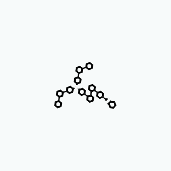 c1ccc(-c2cccc(-c3ccc(N(c4ccc(-c5cccc(-c6ccccc6)c5)cc4)c4ccc(-c5ccccc5-c5ccccc5-c5ccc(-c6nc7ccccc7o6)cc5)cc4)cc3)c2)cc1